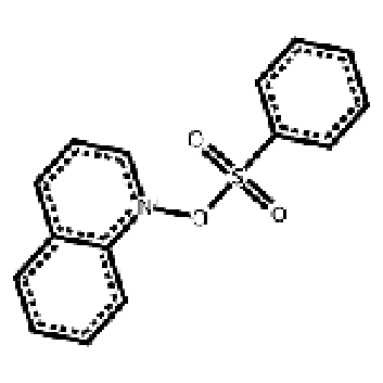 O=S(=O)(O[n+]1cccc2ccccc21)c1ccccc1